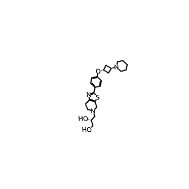 OC[C@H](O)CN1CCc2nc(-c3ccc(O[C@H]4C[C@H](N5CCCCC5)C4)cc3)sc2C1